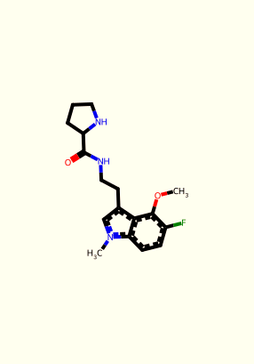 COc1c(F)ccc2c1c(CCNC(=O)C1CCCN1)cn2C